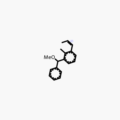 C/C=C\c1cccc(C(OC)c2ccccc2)c1C